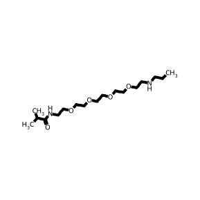 CCCNCCOCCOCCOCCOCCNC(=O)C(C)C